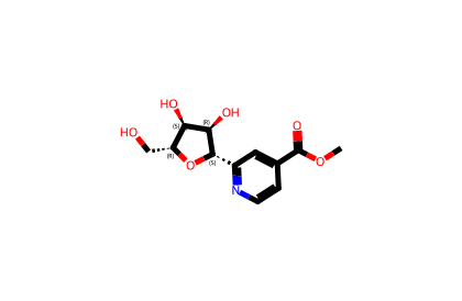 COC(=O)c1ccnc([C@@H]2O[C@H](CO)[C@@H](O)[C@H]2O)c1